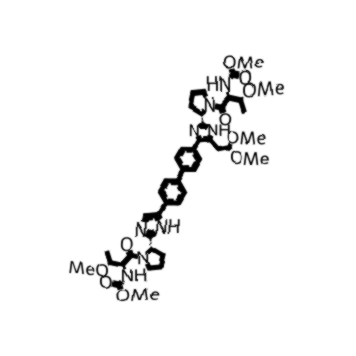 COC(=O)N[C@H](C(=O)N1CCC[C@H]1c1ncc(-c2ccc(-c3ccc(-c4nc([C@@H]5CCCN5C(=O)[C@@H](NC(=O)OC)[C@@H](C)OC)[nH]c4CC(OC)OC)cc3)cc2)[nH]1)[C@@H](C)OC